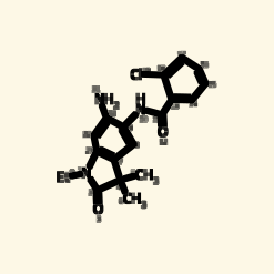 CCN1C(=O)C(C)(C)c2cc(NC(=O)c3ccccc3Cl)c(N)cc21